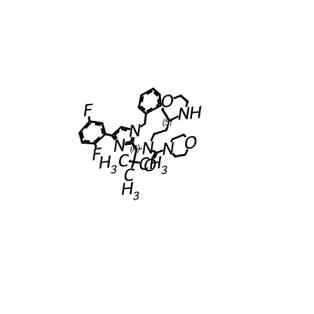 CC(C)(C)[C@H](c1nc(-c2cc(F)ccc2F)cn1Cc1ccccc1)N(CC[C@H]1COCCN1)C(=O)N1CCOCC1